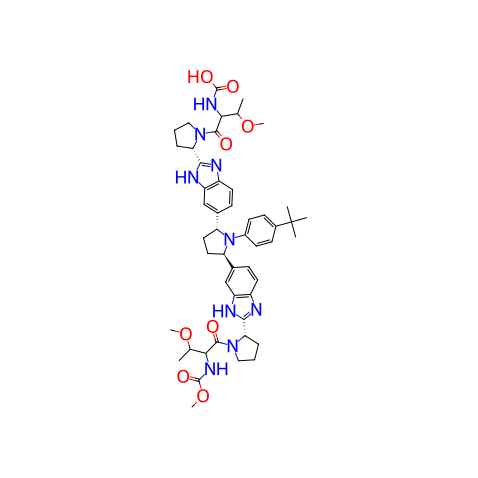 COC(=O)NC(C(=O)N1CCC[C@H]1c1nc2ccc([C@H]3CC[C@H](c4ccc5nc([C@@H]6CCCN6C(=O)C(NC(=O)O)C(C)OC)[nH]c5c4)N3c3ccc(C(C)(C)C)cc3)cc2[nH]1)C(C)OC